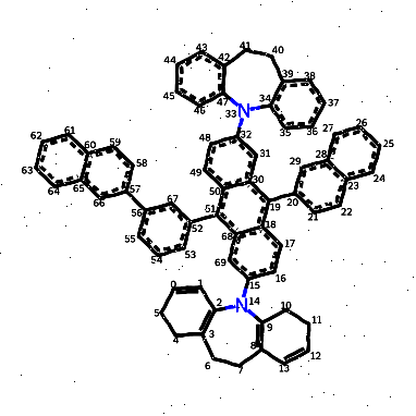 C1=CC2=C(CC1)CCC1=C(CCC=C1)N2c1ccc2c(-c3ccc4ccccc4c3)c3cc(N4c5ccccc5CCc5ccccc54)ccc3c(-c3cccc(-c4ccc5ccccc5c4)c3)c2c1